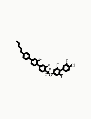 CCCCCc1ccc(-c2ccc(-c3ccc(C(F)(F)Oc4cc(F)c(-c5ccc(Cl)c(F)c5)c(F)c4)c(F)c3)c(F)c2)cc1